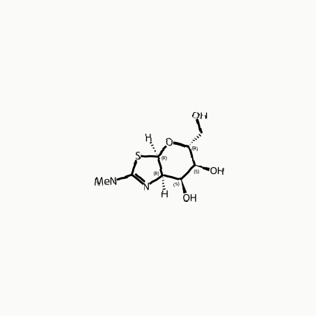 CNC1=N[C@@H]2[C@H](O)[C@H](O)[C@@H](CO)O[C@@H]2S1